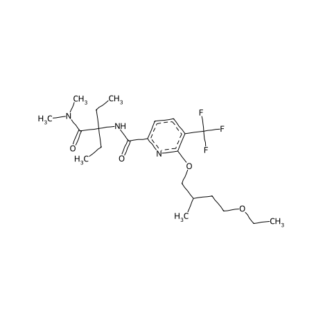 CCOCCC(C)COc1nc(C(=O)NC(CC)(CC)C(=O)N(C)C)ccc1C(F)(F)F